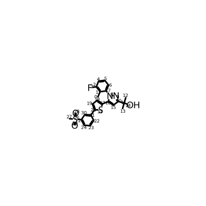 Cc1c(F)cccc1-n1nc(C(C)(C)O)cc1-c1ccc(-c2cccc(S(C)(=O)=O)c2)s1